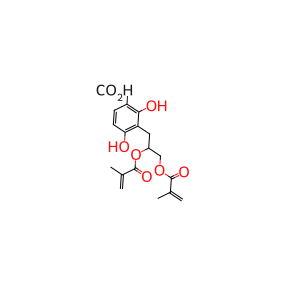 C=C(C)C(=O)OCC(Cc1c(O)ccc(C(=O)O)c1O)OC(=O)C(=C)C